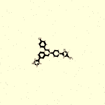 Nc1n[nH]c(N2CCC(N(CCc3ccc(Cl)cc3)Cc3cccc(-c4nn[nH]n4)c3)CC2)n1